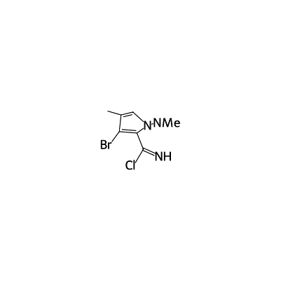 CNn1cc(C)c(Br)c1C(=N)Cl